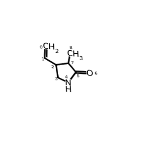 C=CC1CNC(=O)C1C